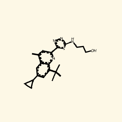 Cc1cc(-c2nnc(NCCCO)s2)nc2c(C(C)(C)C)cc(C3CC3)cc12